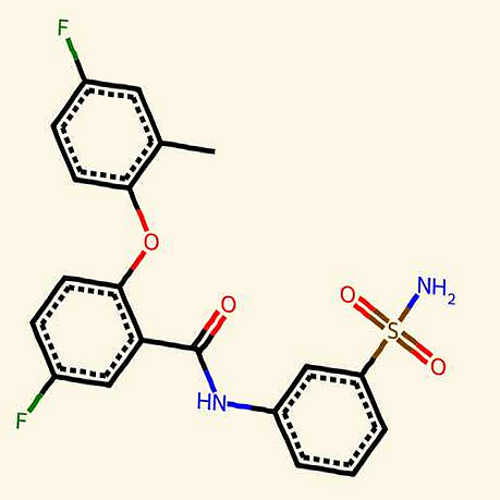 Cc1cc(F)ccc1Oc1ccc(F)cc1C(=O)Nc1cccc(S(N)(=O)=O)c1